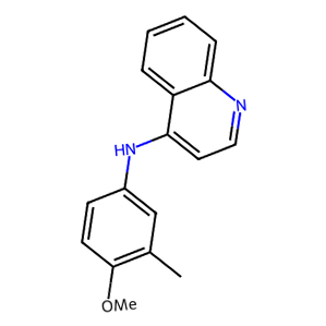 COc1ccc(Nc2ccnc3ccccc23)cc1C